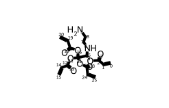 C=CC(=O)OC(NCCN)C(OC(=O)C=C)(OC(=O)C=C)OC(=O)C=C